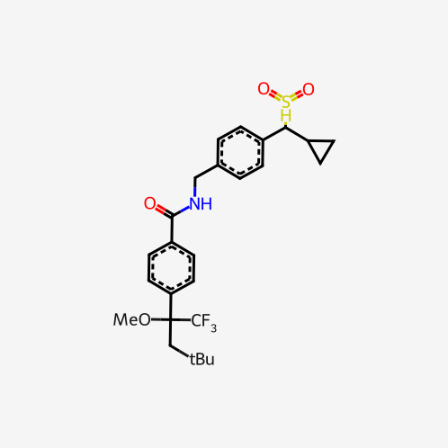 COC(CC(C)(C)C)(c1ccc(C(=O)NCc2ccc(C(C3CC3)[SH](=O)=O)cc2)cc1)C(F)(F)F